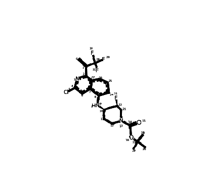 C=C(c1nc(Cl)cc2c(N[C@@H]3CCN(C(=O)OC(C)(C)C)C[C@@H]3F)cccc12)C(F)(F)F